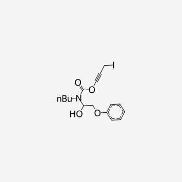 CCCCN(C(=O)OC#CCI)C(O)COc1ccccc1